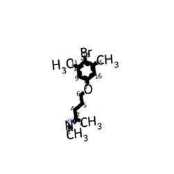 C/N=C(\C)CCCOc1cc(C)c(Br)c(C)c1